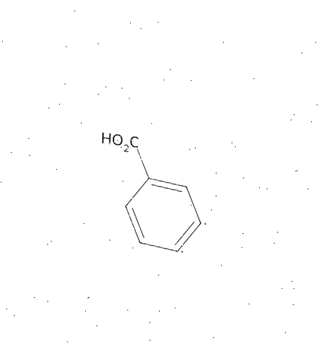 O=C(O)c1c[c][c]cc1